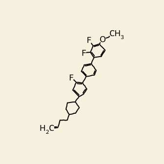 C=CCCC1CCC(c2ccc(-c3ccc(-c4ccc(OCC)c(F)c4F)cc3)c(F)c2)CC1